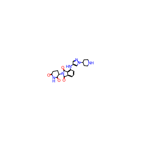 O=C1CCC(N2C(=O)c3cccc(Nc4cnn(C5CCNCC5)c4)c3C2=O)C(=O)N1